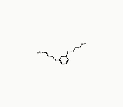 CCC/C=C/COc1[c]ccc(OC/C=C/CCC)c1